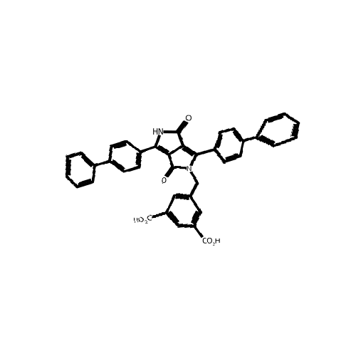 O=C1NC(c2ccc(-c3ccccc3)cc2)=C2C(=O)N(Cc3cc(C(=O)O)cc(C(=O)O)c3)C(c3ccc(-c4ccccc4)cc3)=C12